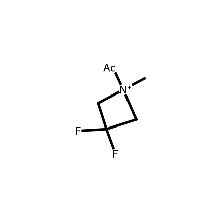 CC(=O)[N+]1(C)CC(F)(F)C1